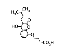 CC(C)=CCc1c(O)c2cccc(OCCCC(=O)O)c2oc1=O